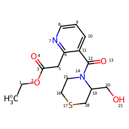 CCOC(=O)Cc1ncccc1C(=O)N1CCSCC1CO